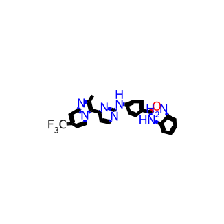 Cc1nc2cc(C(F)(F)F)ccn2c1-c1ccnc(Nc2ccc(C(=O)Nc3ccccc3N)cc2)n1